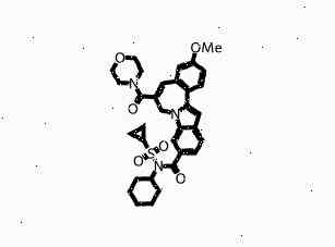 COc1ccc2c(c1)C=C(C(=O)N1CCOCC1)Cn1c-2cc2ccc(C(=O)N(C3CCCCC3)S(=O)(=O)C3CC3)cc21